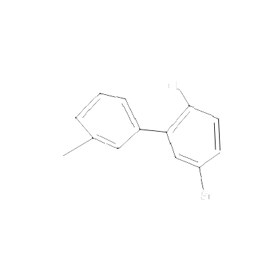 Clc1ccc(Br)cc1-c1cccc(I)c1